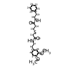 COc1ccc(CCNC(=O)CSCCC(=O)NCCc2ccccc2)cc1OC